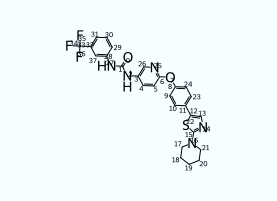 O=C(Nc1ccc(Oc2ccc(-c3cnc(N4CCCCC4)s3)cc2)nc1)Nc1cccc(C(F)(F)F)c1